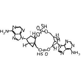 C[C@H]1[C@H]2O[P@](=O)(S)OCC34C[C@@H]3[C@@H](n3cnc5c(N)ncnc53)[C@H](C)[C@@H]4O[P@@](=O)(S)OC[C@H]1O[C@H]2n1cnc2c(N)ncnc21